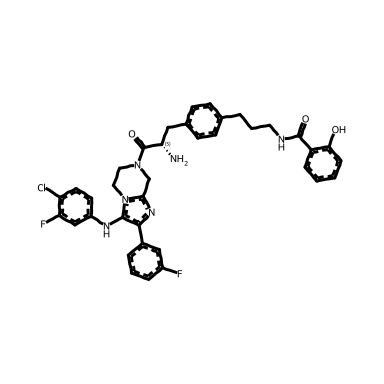 N[C@@H](Cc1ccc(CCCNC(=O)c2ccccc2O)cc1)C(=O)N1CCn2c(nc(-c3cccc(F)c3)c2Nc2ccc(Cl)c(F)c2)C1